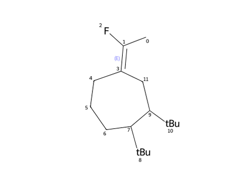 C/C(F)=C1/CCCC(C(C)(C)C)C(C(C)(C)C)C1